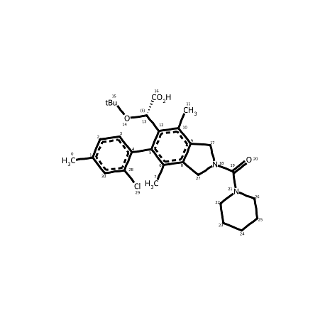 Cc1ccc(-c2c(C)c3c(c(C)c2[C@H](OC(C)(C)C)C(=O)O)CN(C(=O)N2CCCCC2)C3)c(Cl)c1